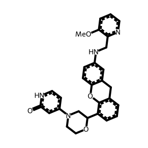 COc1cccnc1CNc1ccc2c(c1)Cc1cccc(C3CN(c4cc[nH]c(=O)c4)CCO3)c1O2